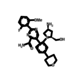 COc1cccc(F)c1-c1ncc(-c2ccc(C3CCOCC3)cc2N2C[C@@H](N)C[C@H]2CO)c(C(N)=O)n1